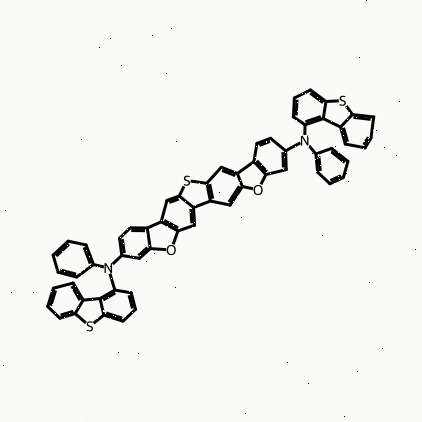 c1ccc(N(c2ccc3c(c2)oc2cc4c(cc23)sc2cc3c(cc24)oc2cc(N(c4ccccc4)c4cccc5sc6ccccc6c45)ccc23)c2cccc3sc4ccccc4c23)cc1